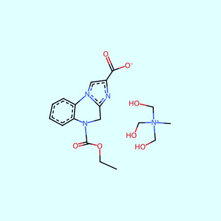 CCOC(=O)N1Cc2nc(C(=O)[O-])cn2-c2ccccc21.C[N+](CO)(CO)CO